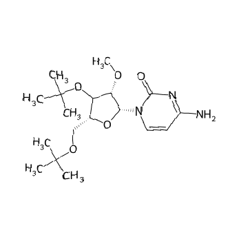 CO[C@H]1C(OC(C)(C)C)[C@@H](COC(C)(C)C)O[C@H]1n1ccc(N)nc1=O